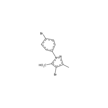 Cc1nn(-c2ccc(Br)cc2)c(C(=O)O)c1Br